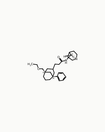 CCOC[C@@]12CCC[C@@](c3ccccc3)(CC(CCC(=O)N[C@H]3CN4CCC3CC4)C1)C2